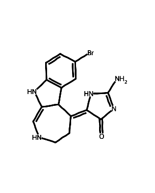 NC1=NC(=O)C(=C2CCNC=C3Nc4ccc(Br)cc4C32)N1